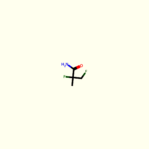 CC(F)(CF)C(N)=O